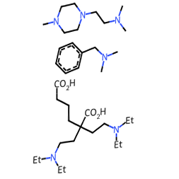 CCN(CC)CCC(CCCC(=O)O)(CCN(CC)CC)C(=O)O.CN(C)CCN1CCN(C)CC1.CN(C)Cc1ccccc1